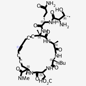 CC[C@H](C)[C@@H]1NC(=O)[C@H](C)NC(=O)[C@@](C)(NC(=O)[C@H](CCC(N)=O)NC(=O)[C@H](N)[C@@H](C)O)CCC/C=C/CCC[C@@](C)(C(=O)NC)NC(=O)[C@H](CC(=O)O)NC1=O